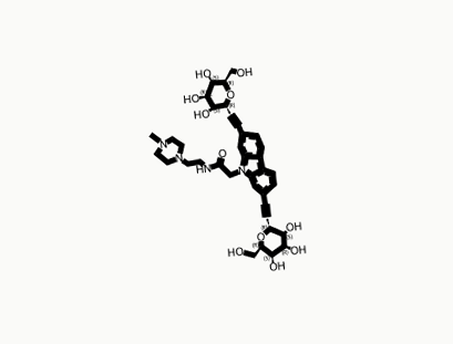 CN1CCN(CCNC(=O)Cn2c3cc(C#C[C@H]4O[C@H](CO)[C@@H](O)[C@H](O)[C@@H]4O)ccc3c3ccc(C#C[C@H]4O[C@H](CO)[C@@H](O)[C@H](O)[C@@H]4O)cc32)CC1